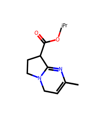 CC1=CCN2CCC(C(=O)OC(C)C)C2=N1